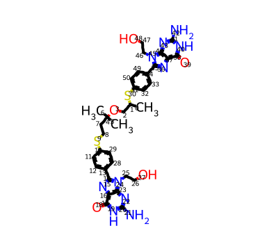 CC(COC(C)(C)CCSc1ccc(-c2nc3c(=O)[nH]c(N)nc3n2CCO)cc1)Sc1ccc(-c2nc3c(=O)[nH]c(N)nc3n2CCO)cc1